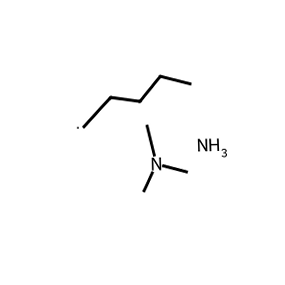 CN(C)C.N.[CH2]CCCC